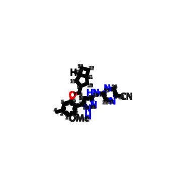 COc1cc(C)cc(OCC2CC3CC[C@@H]3C2)c1-c1cc(Nc2cnc(C#N)cn2)n[nH]1